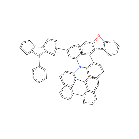 c1ccc(-c2cccc3cccc(-c4ccccc4N(c4cccc(-c5ccc6c7ccccc7n(-c7ccccc7)c6c5)c4)c4ccccc4-c4cccc5oc6ccccc6c45)c23)cc1